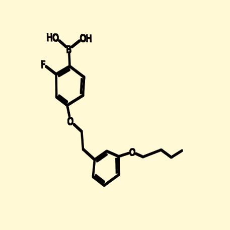 CCCCOc1cccc(CCOc2ccc(B(O)O)c(F)c2)c1